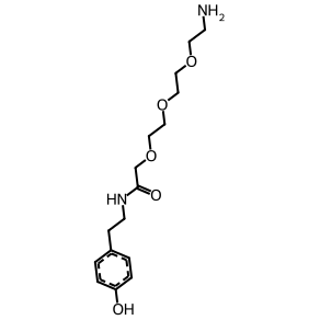 NCCOCCOCCOCC(=O)NCCc1ccc(O)cc1